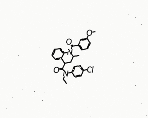 CCN(C(=O)C1CC(C)N(C(=O)c2cccc(OC)c2)c2ccccc21)c1ccc(Cl)cc1